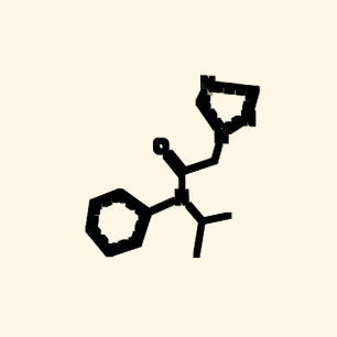 CC(C)N(C(=O)Cn1cncn1)c1ccccc1